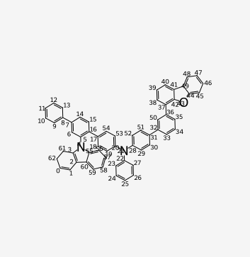 C1=Cc2c(n(-c3cc(-c4ccccc4)ccc3-c3ccc(N(c4ccccc4)c4ccc(-c5cccc(-c6cccc7c6oc6ccccc67)c5)cc4)cc3)c3ccccc23)CC1